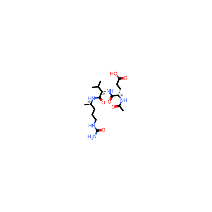 CC(=O)N[C@@H](CCC(=O)O)C(=O)N[C@H](C(=O)N[C@H](C)CCCNC(N)=O)C(C)C